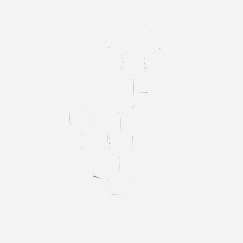 Cc1ncccc1-c1cc(N2C[C@H](O)C[C@H]2CO)ncc1N(C)C(=O)C(C)(C)c1cc(C(F)(F)F)cc(C(F)(F)F)c1